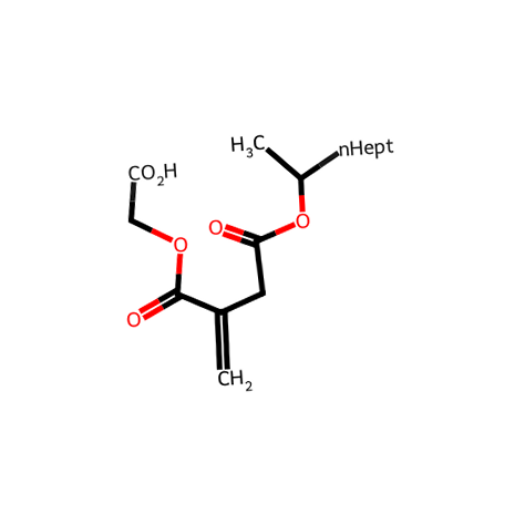 C=C(CC(=O)OC(C)CCCCCCC)C(=O)OCC(=O)O